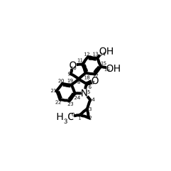 CC1CC1CN1C(=O)C2(COc3cc(O)c(O)cc32)c2ccccc21